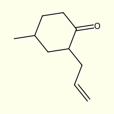 C=CCC1CC(C)CCC1=O